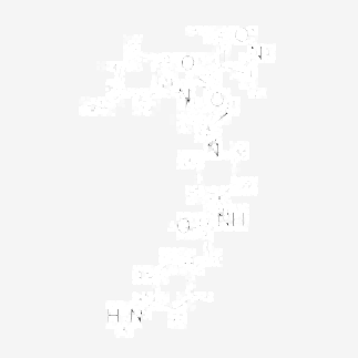 Cc1noc(C)c1S(=O)(=O)N(C[C@@H](C)N1CCC(NC(=O)Cc2ccc(N)cc2)CC1)c1cccc(F)c1